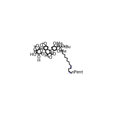 CCCCC/C=C\C/C=C\CCCCCCCCOP(Oc1c(OC)cc([C@@H]2c3cc4c(cc3[C@@H](O[C@@H]3O[C@@H]5CO[C@@H](C)O[C@H]5[C@H](O)[C@H]3O)[C@H]3COC(=O)[C@H]23)OCO4)cc1OC)OC(C)(C)C